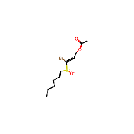 CCCCCC[S+]([O-])C(Br)=CCOC(C)=O